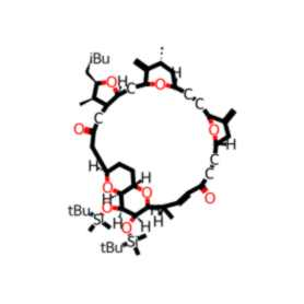 C=C1C[C@@H]2CCC(=O)/C=C/[C@H](C)[C@@H]3O[C@H]4CC[C@H](CC(=O)CC5[C@H](CC6O[C@@H](CCC1O2)C[C@@H](C)C6=C)O[C@H](C[C@H](C)CC)[C@@H]5C)O[C@@H]4[C@H](O[Si](C)(C)C(C)(C)C)[C@@H]3O[Si](C)(C)C(C)(C)C